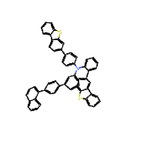 c1cc(-c2ccc(-c3cccc4ccccc34)cc2)cc(N(c2ccc(-c3ccc4c(c3)sc3ccccc34)cc2)c2ccccc2-c2ccc3sc4ccccc4c3c2)c1